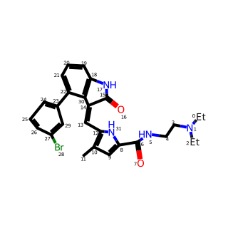 CCN(CC)CCNC(=O)c1cc(C)c(C=C2C(=O)Nc3cccc(-c4cccc(Br)c4)c32)[nH]1